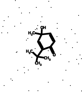 CC1(O)C=CC(=O)C(C(C)(C)C)=C1